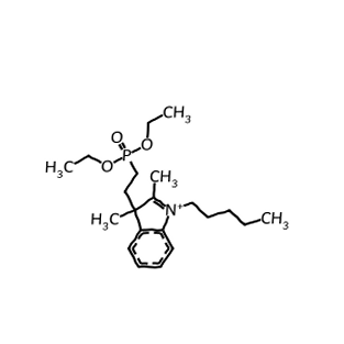 CCCCC[N+]1=C(C)C(C)(CCP(=O)(OCC)OCC)c2ccccc21